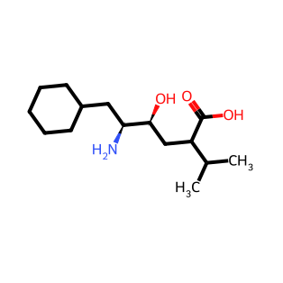 CC(C)C(C[C@H](O)[C@@H](N)CC1CCCCC1)C(=O)O